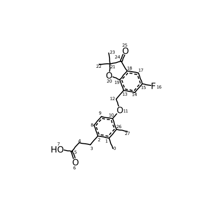 Cc1c(CCC(=O)O)ccc(OCc2cc(F)cc3c2OC(C)(C)C3=O)c1C